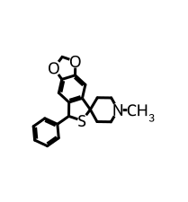 CN1CCC2(CC1)SC(c1ccccc1)c1cc3c(cc12)OCO3